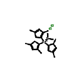 CC1=CC(C)[C]([Hf+2]([C]2=C(C)C=C(C)C2)([C]2=C(C)C=C(C)C2)=[Si](C)C)=C1.[Cl-].[Cl-]